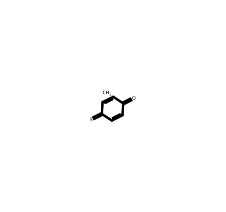 C.O=C1C=CC(=S)C=C1